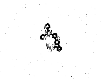 CC1(C)c2ccccc2-c2cc3oc4ccc(-c5nc(-c6ccccn6)nc(-c6ccccn6)n5)cc4c3cc21